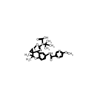 COc1cnc(C(=O)Nc2ccc3c(c2)[C@@]2(COC(N(C(=O)O)C(C)(C)C)=N2)C2(CC2)C(C)(C)O3)cn1